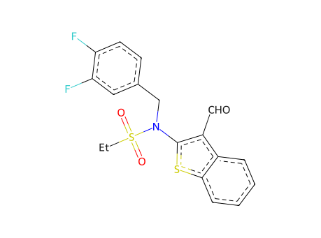 CCS(=O)(=O)N(Cc1ccc(F)c(F)c1)c1sc2ccccc2c1C=O